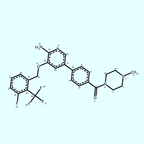 CN1CCN(C(=O)c2ccc(-c3cnc(N)c(OCc4cccc(F)c4C(F)(F)F)c3)cc2)CC1